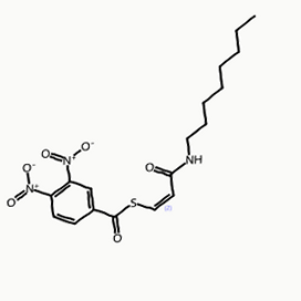 CCCCCCCCNC(=O)/C=C\SC(=O)c1ccc([N+](=O)[O-])c([N+](=O)[O-])c1